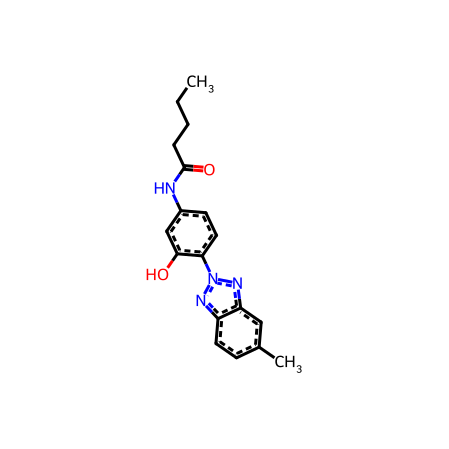 CCCCC(=O)Nc1ccc(-n2nc3ccc(C)cc3n2)c(O)c1